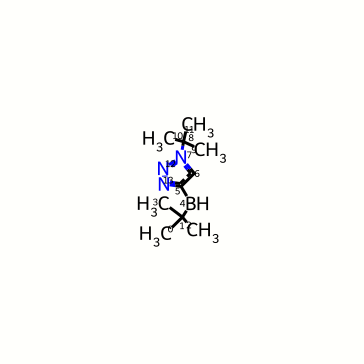 CC(C)(C)Bc1cn(C(C)(C)C)nn1